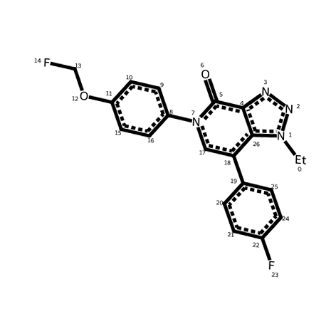 CCn1nnc2c(=O)n(-c3ccc(OCF)cc3)cc(-c3ccc(F)cc3)c21